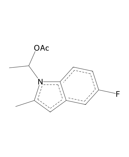 CC(=O)OC(C)n1c(C)cc2cc(F)ccc21